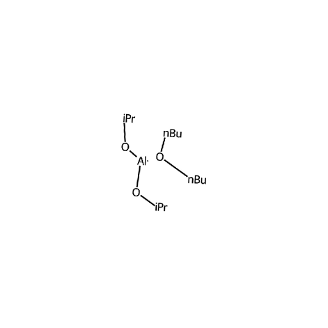 CC(C)[O][Al][O]C(C)C.CCCCOCCCC